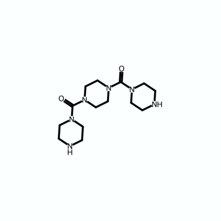 O=C(N1CCNCC1)N1CCN(C(=O)N2CCNCC2)CC1